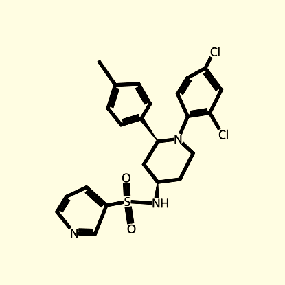 Cc1ccc([C@@H]2C[C@H](NS(=O)(=O)c3cccnc3)CCN2c2ccc(Cl)cc2Cl)cc1